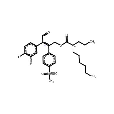 CCCCCC[C@@H](CCC)C(=O)OC/C(=C(\C=O)c1ccc(F)c(F)c1)c1ccc(S(C)(=O)=O)cc1